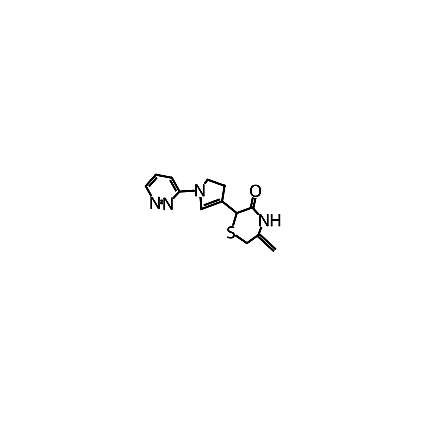 C=C1CSC(C2=CN(c3cccnn3)CC2)C(=O)N1